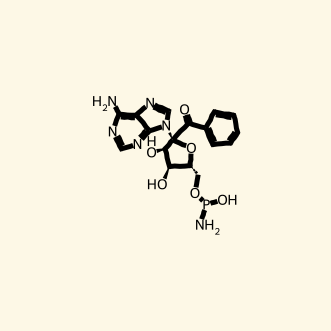 Nc1ncnc2c1ncn2[C@]1(C(=O)c2ccccc2)O[C@H](COP(N)O)[C@@H](O)[C@H]1O